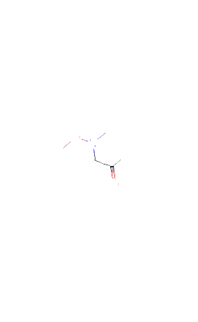 CON(C)CC(=O)Cl